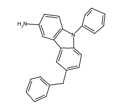 Nc1ccc2c(c1)c1cc(Cc3ccccc3)ccc1n2-c1ccccc1